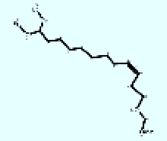 CCOC(CCCCCCC/C=C\CCOCOC)OCC